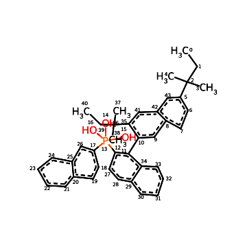 CCC(C)(C)c1ccc2cc(-c3c(P(O)(O)(O)c4ccc5ccccc5c4)ccc4ccccc34)c(C(C)(C)CC)cc2c1